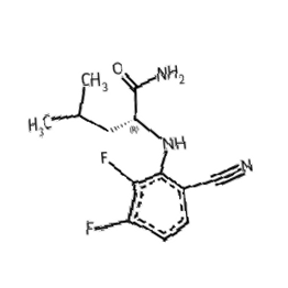 CC(C)C[C@@H](Nc1c(C#N)ccc(F)c1F)C(N)=O